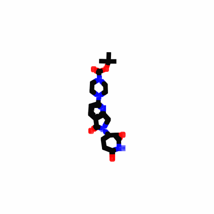 CC(C)(C)OC(=O)N1CCN(c2ccc3c(n2)CN(C2CCC(=O)NC4OC42)C3=O)CC1